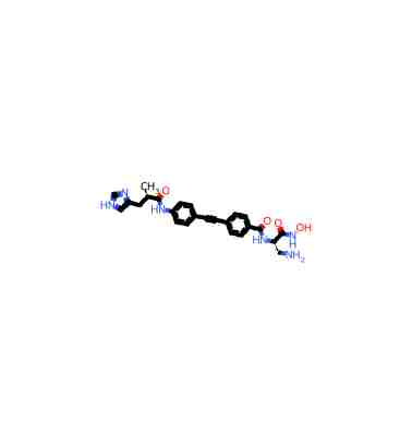 C[C@@H](Cc1c[nH]cn1)C(=O)Nc1ccc(C#Cc2ccc(C(=O)N[C@@H](CN)C(=O)NO)cc2)cc1